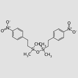 C[Si](C)(CCc1ccc([N+](=O)[O-])cc1)O[Si](C)(C)CCc1ccc([N+](=O)[O-])cc1